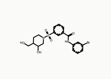 O=C(Nc1cccc(Br)c1)c1cccc(S(=O)(=O)N2CCC(CO)C(O)C2)c1